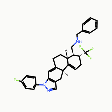 C[C@]12Cc3cnn(-c4ccc(F)cc4)c3C=C1CC[C@H]1C2=CC[C@@H](C(F)(F)F)[C@@H]1CNCc1ccccc1